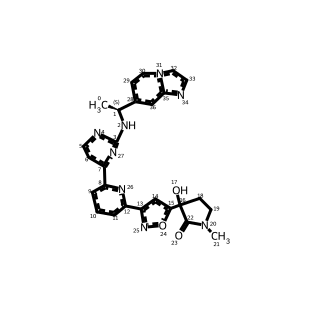 C[C@H](Nc1nccc(-c2cccc(-c3cc(C4(O)CCN(C)C4=O)on3)n2)n1)c1ccn2ccnc2c1